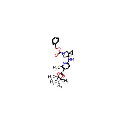 Cc1nc(N[C@@H]2CN(C(=O)OCc3ccccc3)CC23CC3)ccc1B1OC(C)(C)C(C)(C)O1